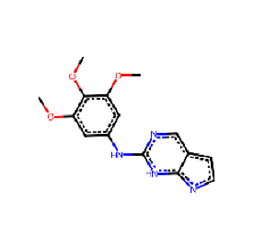 COc1cc(Nc2ncc3ccnc-3[nH]2)cc(OC)c1OC